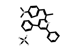 CC(=Cc1ccc(N(C)C)cc1)c1cc(-c2ccccc2)cc(-c2ccccc2)[o+]1.F[B-](F)(F)F